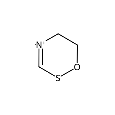 C1=[N+]CCOS1